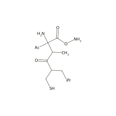 CC(=O)C(N)(C(=O)ON)C(C)C(=O)C(CS)CC(C)C